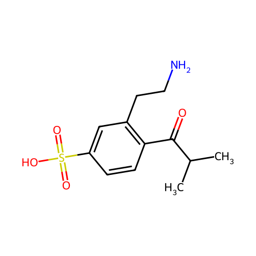 CC(C)C(=O)c1ccc(S(=O)(=O)O)cc1CCN